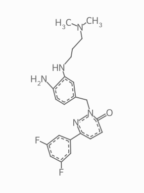 CN(C)CCCNc1cc(Cn2nc(-c3cc(F)cc(F)c3)ccc2=O)ccc1N